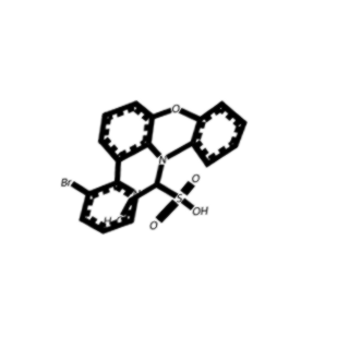 CCC(N1c2ccccc2Oc2cccc(-c3ncccc3Br)c21)S(=O)(=O)O